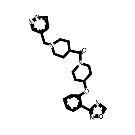 O=C(C1CCN(Cc2ccnnc2)CC1)N1CCC(Oc2ccccc2-c2ncon2)CC1